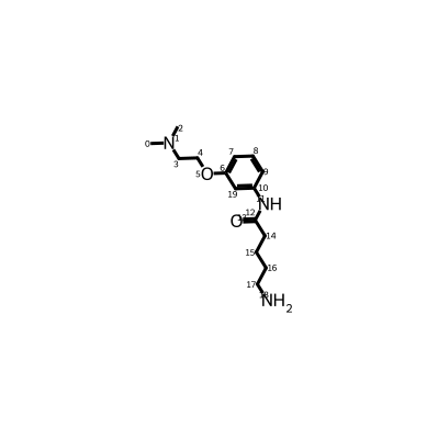 CN(C)CCOc1cccc(NC(=O)CCCCN)c1